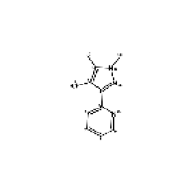 Cc1c(Cl)c(-c2ccccn2)nn1C